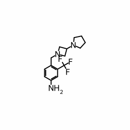 Nc1ccc(CN2CC(N3CCCC3)C2)c(C(F)(F)F)c1